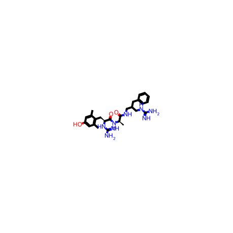 Cc1cc(O)cc(C)c1C[C@H](NC(=N)N)C(=O)N[C@H](C)C(=O)NCC(CNC(=N)N)Cc1ccccc1